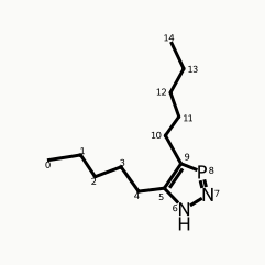 CCCCCc1[nH]npc1CCCCC